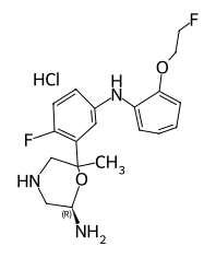 CC1(c2cc(Nc3ccccc3OCCF)ccc2F)CNC[C@H](N)O1.Cl